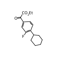 CCOC(=O)C(=O)c1ccc(C2CCCCC2)c(F)c1